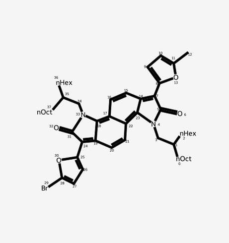 CCCCCCCCC(CCCCCC)CN1C(=O)C(c2ccc(C)o2)=c2ccc3c4c(ccc3c21)=C(c1ccc(Br)o1)C(=O)N4CC(CCCCCC)CCCCCCCC